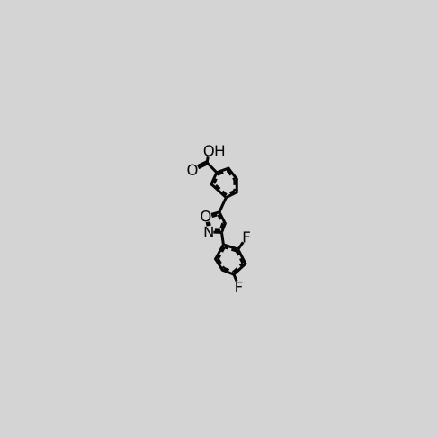 O=C(O)c1cccc(-c2cc(-c3ccc(F)cc3F)no2)c1